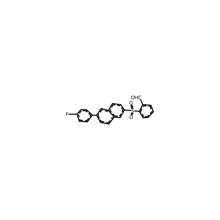 O=Cc1ccccc1S(=O)(=O)c1ccc2cc(-c3ccc(F)cc3)ccc2c1